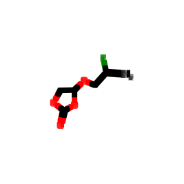 C=C(F)COC1COC(=O)O1